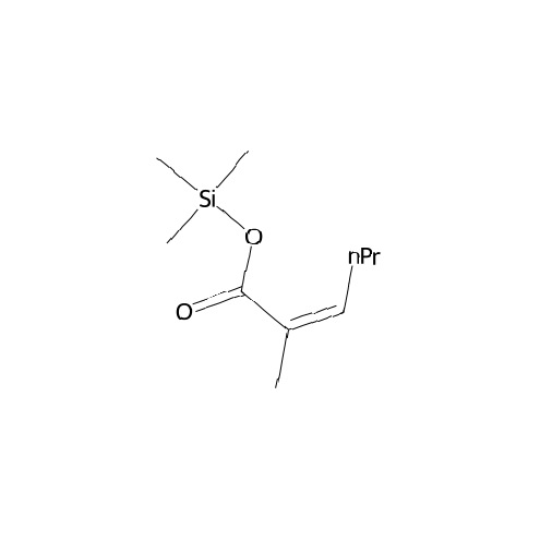 CCCC=C(C)C(=O)O[Si](C)(C)C